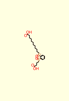 O=C(O)CCCCCCCCCCC[S+]([O-])c1ccccc1[S+]([O-])CCCC(=O)O